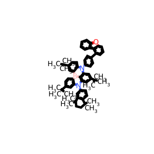 CC(C)(C)c1ccc2c(c1)B1c3ccc(C(C)(C)C)cc3N(c3ccc4c(c3)C(C)(C)CCC4(C)C)c3cc(C(C)(C)C)cc(c31)N2c1ccc(-c2cccc3oc4ccccc4c23)cc1